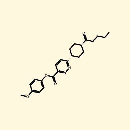 CCCCC(=O)[C@H]1CC[C@H](c2ccc(C(=O)Oc3ccc(OC)cc3)nn2)CC1